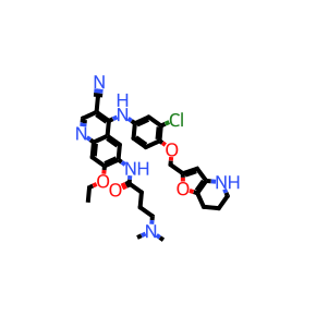 CCOc1cc2ncc(C#N)c(Nc3ccc(OCc4cc5c(o4)CCCN5)c(Cl)c3)c2cc1NC(=O)CCCN(C)C